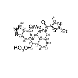 CCc1nc(C)c(C(=O)N2CCc3c(cccc3C(CC(=O)O)c3cc(OC)c4c(c3)nnn4C)C2)s1